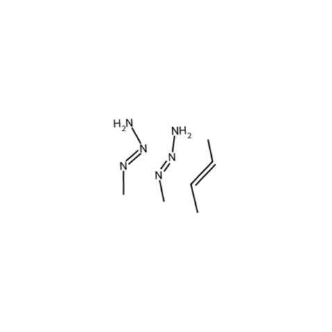 CC=CC.CN=NN.CN=NN